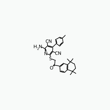 Cc1ccc(-c2c(C#N)c(N)nc(SCC(=O)c3ccc4c(c3)C(C)(C)CCC4(C)C)c2C#N)cc1